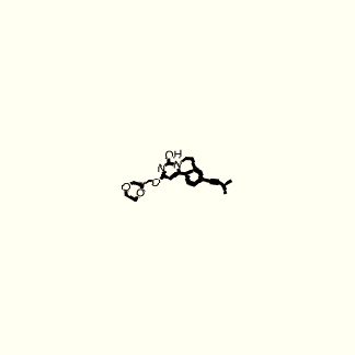 CC(C)C#Cc1ccc2c(c1)CCN1C2=CC(OC[C@@H]2COCCO2)=NC1O